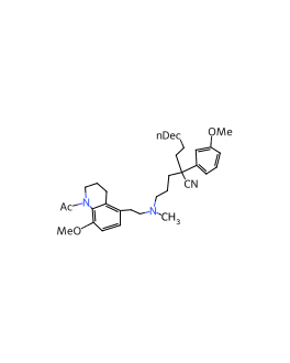 CCCCCCCCCCCCC(C#N)(CCCN(C)CCc1ccc(OC)c2c1CCCN2C(C)=O)c1cccc(OC)c1